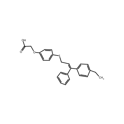 CCc1ccc(C(=CCSc2ccc(OCC(=O)O)cc2)c2ccccc2)cc1